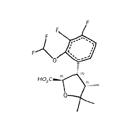 C[C@H]1[C@@H](c2ccc(F)c(F)c2OC(F)F)[C@H](C(=O)O)OC1(C)C